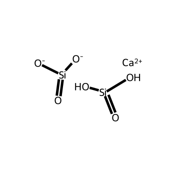 O=[Si](O)O.O=[Si]([O-])[O-].[Ca+2]